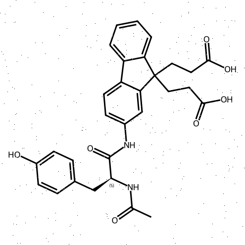 CC(=O)N[C@@H](Cc1ccc(O)cc1)C(=O)Nc1ccc2c(c1)C(CCC(=O)O)(CCC(=O)O)c1ccccc1-2